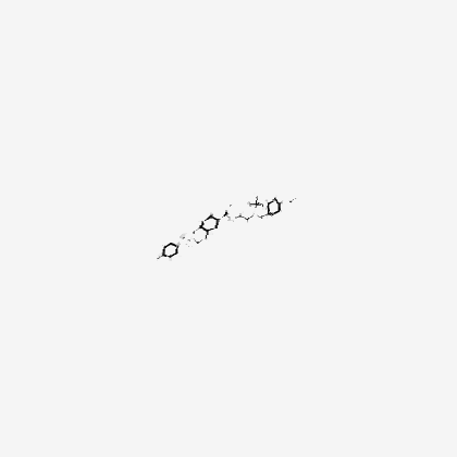 CCOc1ccc(CN(CCNC(=O)c2ccc3c(c2)CCN(S(=O)(=O)c2ccc(C)cc2)C3)C(C)(C)C)cc1